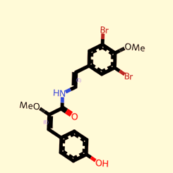 CO/C(=C/c1ccc(O)cc1)C(=O)N/C=C/c1cc(Br)c(OC)c(Br)c1